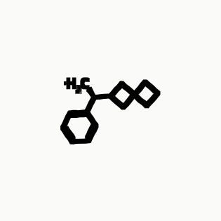 [CH2][C@H](c1ccccc1)C1CC2(CCC2)C1